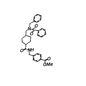 COC(=O)c1ccc(CNC(=O)C2CCC(CN(Cc3ccccc3)S(=O)(=O)c3ccccc3)CC2)cc1